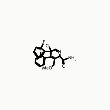 COCC1=C(c2ccccc2F)C(Cl)(c2ccccc2F)C=NC1C(N)=O